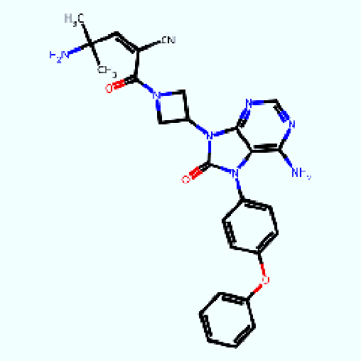 CC(C)(N)/C=C(/C#N)C(=O)N1CC(n2c(=O)n(-c3ccc(Oc4ccccc4)cc3)c3c(N)ncnc32)C1